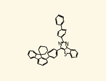 c1ccc(-c2ccc(-c3nc(-c4ccc(-c5cccc6c5C5(CCCCC5)c5ccccc5-6)cc4)c4sc5ccccc5c4n3)cc2)cc1